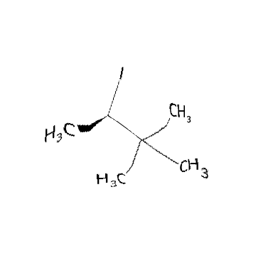 C[C@@H](I)C(C)(C)C